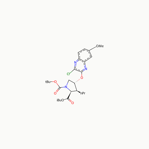 CCC[C@@H]1[C@@H](Oc2nc3cc(OC)ccc3nc2Cl)CN(C(=O)OC(C)(C)C)[C@@H]1C(=O)OCC(C)C